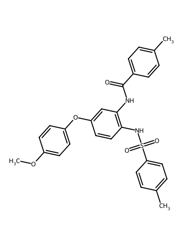 COc1ccc(Oc2ccc(NS(=O)(=O)c3ccc(C)cc3)c(NC(=O)c3ccc(C)cc3)c2)cc1